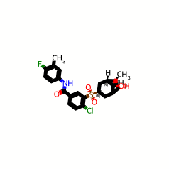 Cc1cc(NC(=O)c2ccc(Cl)c(S(=O)(=O)[C@@H]3CC4C[C@H](C)[C@@H](C3)[C@]4(C)O)c2)ccc1F